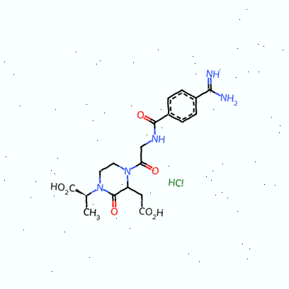 C[C@@H](C(=O)O)N1CCN(C(=O)CNC(=O)c2ccc(C(=N)N)cc2)C(CC(=O)O)C1=O.Cl